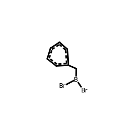 BrB(Br)Cc1ccccc1